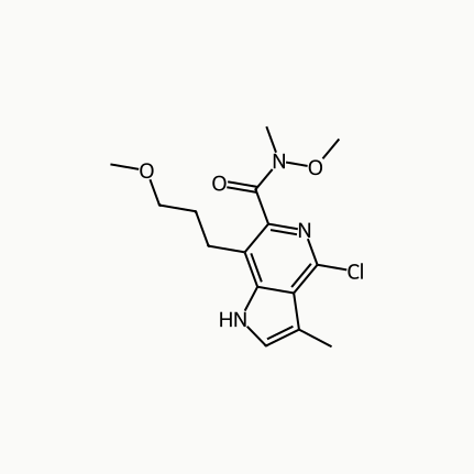 COCCCc1c(C(=O)N(C)OC)nc(Cl)c2c(C)c[nH]c12